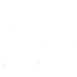 CC(C)CC12CC3CC(C1)CC(c1cc(C(C)(C)C)cc(CBr)c1O)(C3)C2